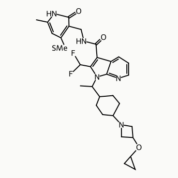 CSc1cc(C)[nH]c(=O)c1CNC(=O)c1c(C(F)F)n(C(C)C2CCC(N3CC(OC4CC4)C3)CC2)c2ncccc12